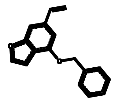 C=Cc1cc(OCc2ccccc2)c2ccoc2c1